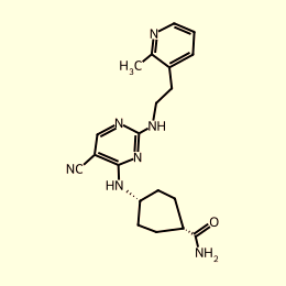 Cc1ncccc1CCNc1ncc(C#N)c(N[C@H]2CC[C@@H](C(N)=O)CC2)n1